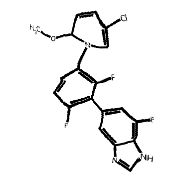 COC1C=CC(Cl)=CN1c1ccc(F)c(-c2cc(F)c3[nH]cnc3c2)c1F